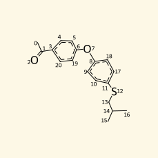 CC(=O)c1ccc(Oc2ccc(SCC(C)C)cc2)cc1